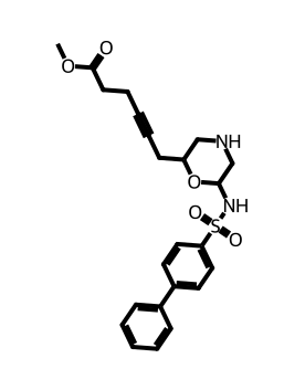 COC(=O)CCC#CCC1CNCC(NS(=O)(=O)c2ccc(-c3ccccc3)cc2)O1